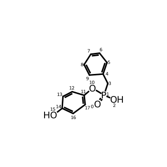 O=P(O)(Cc1ccccc1)Oc1ccc(O)cc1